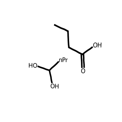 CCCC(=O)O.CCCC(O)O